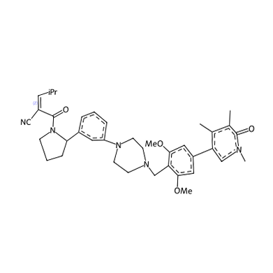 COc1cc(-c2cn(C)c(=O)c(C)c2C)cc(OC)c1CN1CCN(c2cccc(C3CCCN3C(=O)/C(C#N)=C\C(C)C)c2)CC1